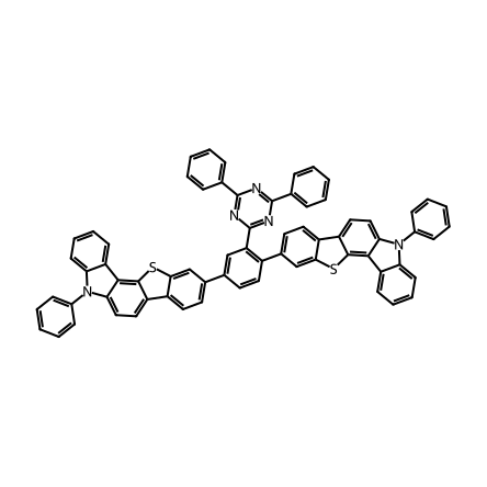 c1ccc(-c2nc(-c3ccccc3)nc(-c3cc(-c4ccc5c(c4)sc4c5ccc5c4c4ccccc4n5-c4ccccc4)ccc3-c3ccc4c(c3)sc3c4ccc4c3c3ccccc3n4-c3ccccc3)n2)cc1